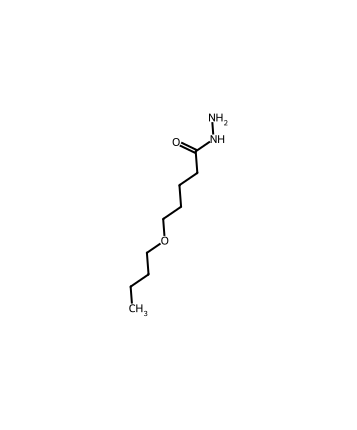 CCCCOCCCCC(=O)NN